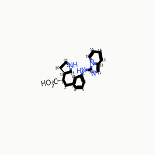 O=C(O)[C@@H](Cc1cccc(Nc2ncc3ccccn23)c1)[C@H]1CCNC1